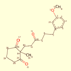 COc1cccc(CCCC(=O)CCC2(C)C(=O)CCCC2=O)c1